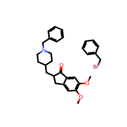 BrCc1ccccc1.COc1cc2c(cc1OC)C(=O)C(CC1CCN(Cc3ccccc3)CC1)C2